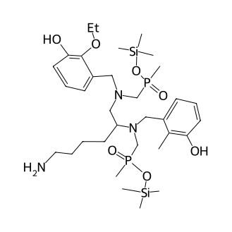 CCOc1c(O)cccc1CN(CC(CCCCN)N(Cc1cccc(O)c1C)CP(C)(=O)O[Si](C)(C)C)CP(C)(=O)O[Si](C)(C)C